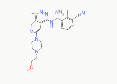 COCCN1CCN(c2cc3c(N[C@H](N)c4cccc(C#N)c4C)nnc(C)c3cn2)CC1